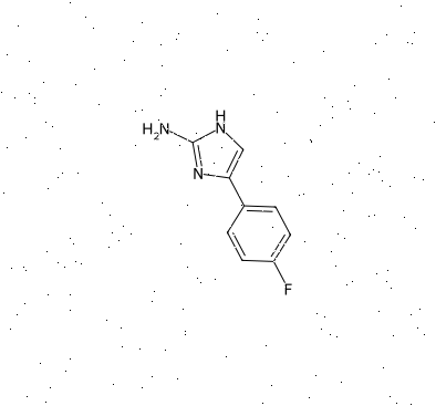 Nc1nc(-c2ccc(F)cc2)c[nH]1